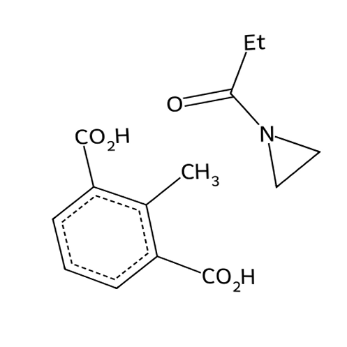 CCC(=O)N1CC1.Cc1c(C(=O)O)cccc1C(=O)O